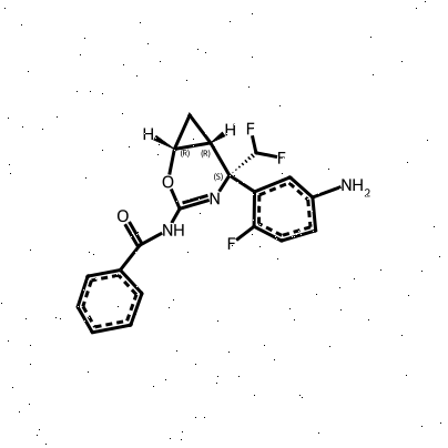 Nc1ccc(F)c([C@@]2(C(F)F)N=C(NC(=O)c3ccccc3)O[C@@H]3C[C@@H]32)c1